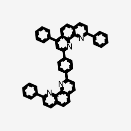 c1ccc(-c2ccc3ccc4ccc(-c5ccc(-c6cc(-c7ccccc7)c7ccc8ccc(-c9ccccc9)nc8c7n6)cc5)nc4c3n2)cc1